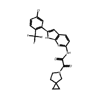 O=C(Nc1ccc2cc(-c3cc(Cl)ccc3C(F)(F)F)[nH]c2n1)C(=O)N1CCC2(CC2)C1